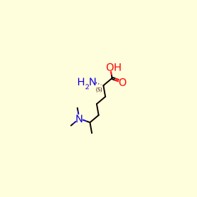 CC(CCC[C@H](N)C(=O)O)N(C)C